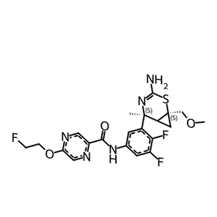 COC[C@]12CC1[C@@](C)(c1cc(NC(=O)c3cnc(OCCF)cn3)cc(F)c1F)N=C(N)S2